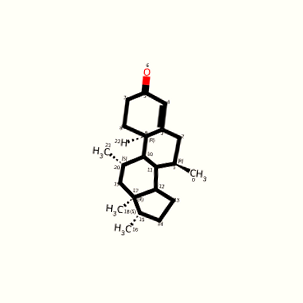 C[C@@H]1CC2=CC(=O)CC[C@@H]2C2C1C1CC[C@H](C)[C@@]1(C)C[C@@H]2C